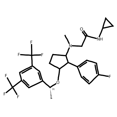 C[C@@H](OC1CCC(N(C)CC(=O)NC2CC2)C1c1ccc(F)cc1)c1cc(C(F)(F)F)cc(C(F)(F)F)c1